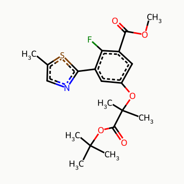 COC(=O)c1cc(OC(C)(C)C(=O)OC(C)(C)C)cc(-c2ncc(C)s2)c1F